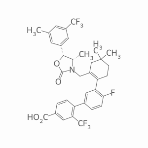 Cc1cc([C@H]2OC(=O)N(CC3=C(c4cc(-c5ccc(C(=O)O)cc5C(F)(F)F)ccc4F)CCC(C)(C)C3)[C@H]2C)cc(C(F)(F)F)c1